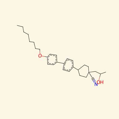 CCCCCCCCOc1ccc(-c2ccc(C3CCC(C#N)(CC(C)O)CC3)cc2)cc1